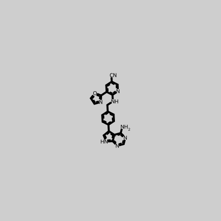 N#Cc1cnc(NCc2ccc(-c3c[nH]c4ncnc(N)c34)cc2)c(-c2ncco2)c1